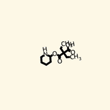 CCC(CC)(C(=O)O)C(=O)OC1CCCCN1